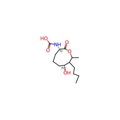 CCCCC1C(C)OC(=O)[C@@H](NC(=O)O)CCC[C@@H]1O